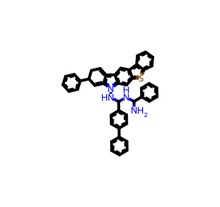 NC(NC(Nn1c2c(c3cc4c(cc31)sc1ccccc14)=CCC(c1ccccc1)C=2)c1ccc(-c2ccccc2)cc1)c1ccccc1